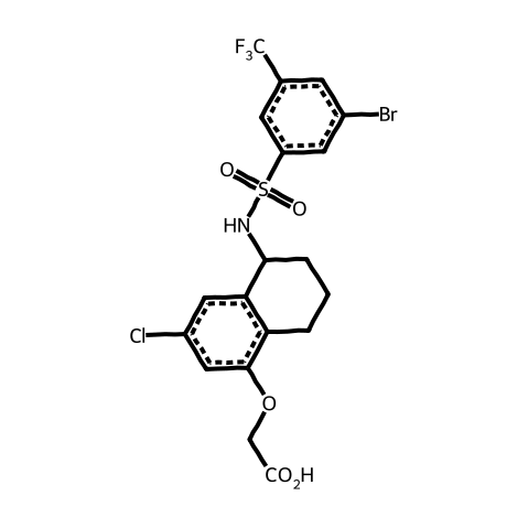 O=C(O)COc1cc(Cl)cc2c1CCCC2NS(=O)(=O)c1cc(Br)cc(C(F)(F)F)c1